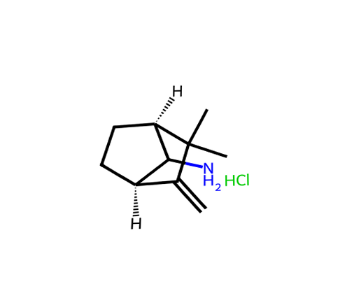 C=C1[C@H]2CC[C@H](C2N)C1(C)C.Cl